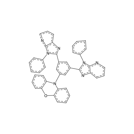 c1ccc(-n2c(-c3cc(-c4nc5cccnc5n4-c4ccccc4)cc(N4c5ccccc5Oc5ccccc54)c3)nc3cccnc32)cc1